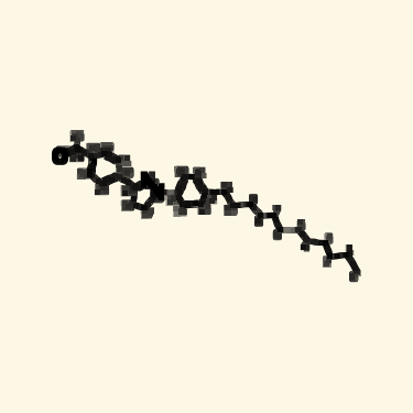 CCCCCCCCCCCCc1ccc(N2CCC(c3ccc(C(C)=O)cc3)=N2)cc1